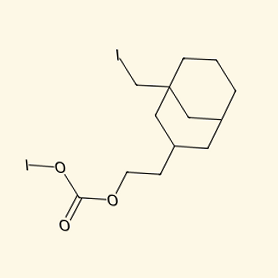 O=C(OI)OCCC1CC2CCCC(CI)(C2)C1